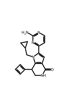 Nc1nccc(-c2cc3c(n2CC2CC2)C(C2=CC=C2)CNC3=O)n1